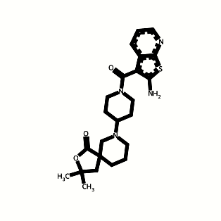 CC1(C)CC2(CCCN(C3CCN(C(=O)c4c(N)sc5ncccc45)CC3)C2)C(=O)O1